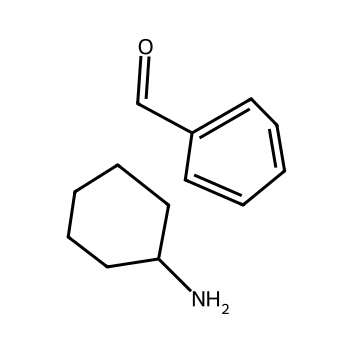 NC1CCCCC1.O=Cc1ccccc1